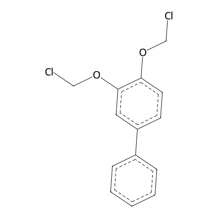 ClCOc1ccc(-c2ccccc2)cc1OCCl